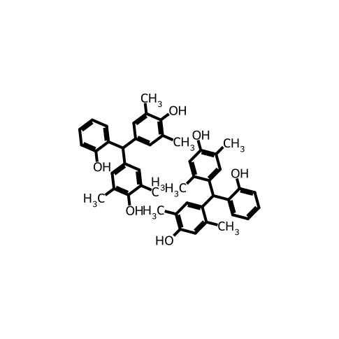 Cc1cc(C(c2cc(C)c(O)c(C)c2)c2ccccc2O)cc(C)c1O.Cc1cc(C(c2cc(C)c(O)cc2C)c2ccccc2O)c(C)cc1O